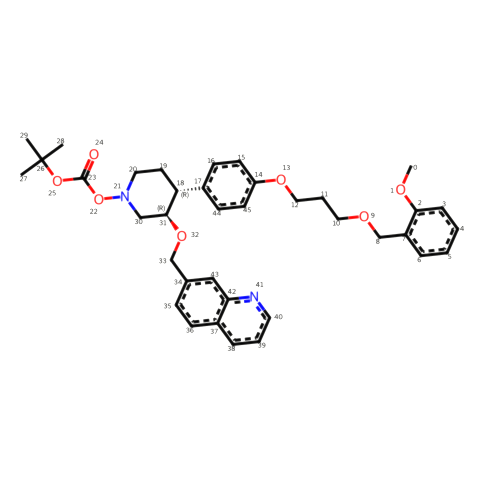 COc1ccccc1COCCCOc1ccc([C@H]2CCN(OC(=O)OC(C)(C)C)C[C@@H]2OCc2ccc3cccnc3c2)cc1